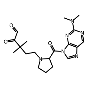 CN(C)c1ncc2ncn(C(=O)C3CCCN3CCC(C)(C)C(=O)C=O)c2n1